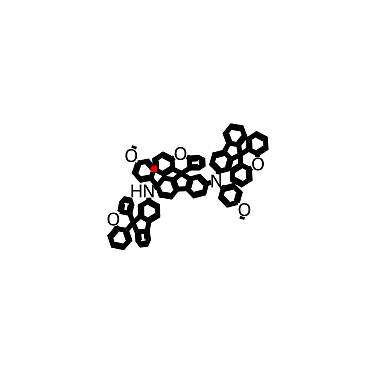 COc1ccc(N(c2ccc3c(c2)C2(C4=C3C=CC(Nc3ccc5c(c3)C3(c6ccccc6Oc6ccccc63)c3ccccc3-5)(c3ccc(OC)cc3)C4)c3ccccc3Oc3ccccc32)c2ccc3c(c2)C2(c4ccccc4Oc4ccccc42)c2ccccc2-3)cc1